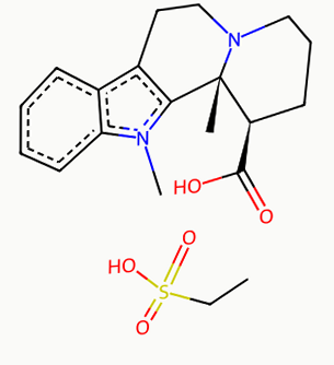 CCS(=O)(=O)O.Cn1c2c(c3ccccc31)CCN1CCC[C@@H](C(=O)O)[C@]21C